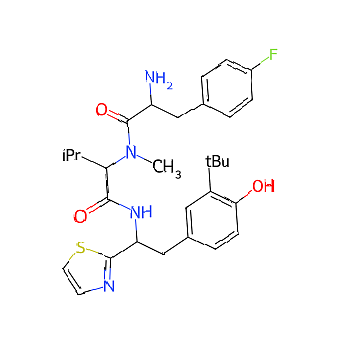 CC(C)C(C(=O)NC(Cc1ccc(O)c(C(C)(C)C)c1)c1nccs1)N(C)C(=O)C(N)Cc1ccc(F)cc1